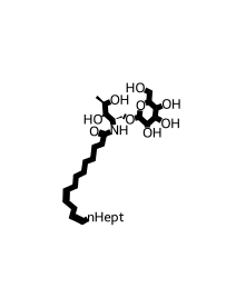 CCCCCCC/C=C\C/C=C\CCCCCCCC(=O)N[C@@H](COC1OC(CO)C(O)C(O)C1O)[C@H](O)[C@@H](C)O